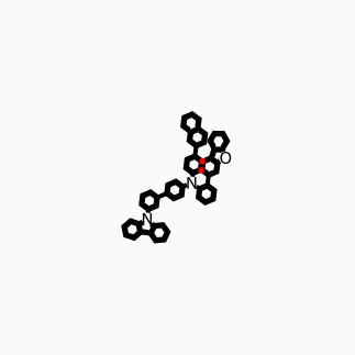 c1cc(-c2ccc(N(c3ccc(-c4ccc5ccccc5c4)cc3)c3ccccc3-c3ccc4c(c3)oc3ccccc34)cc2)cc(-n2c3ccccc3c3ccccc32)c1